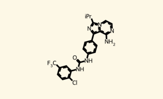 CC(C)c1nc(-c2ccc(NC(=O)Nc3cc(C(F)(F)F)ccc3Cl)cc2)c2c(N)nccn12